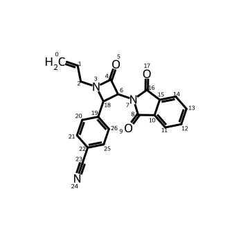 C=CCN1C(=O)C(N2C(=O)c3ccccc3C2=O)C1c1ccc(C#N)cc1